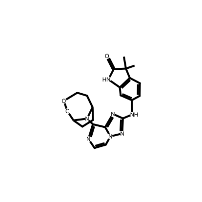 CC1(C)C(=O)Nc2cc(Nc3nc4c(N5C6CCOCC5CC6)nccn4n3)ccc21